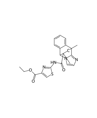 CCOC(=O)c1csc(NC(=O)C2(C)CC3(C)c4ccccc4C2n2ccnc23)n1